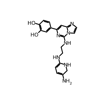 NC1=CC=C(NCCNc2nc(-c3ccc(O)c(O)c3)cc3nccn23)NC1